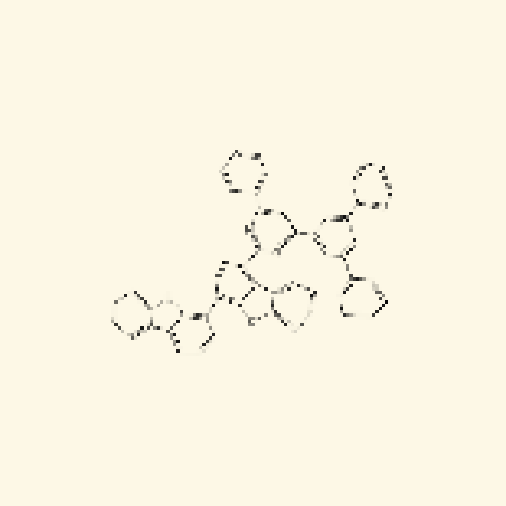 c1ccc(-c2cc(-c3ccccc3)cc(-c3cc(-c4ccccc4)nc(-c4ccc(-c5cccc6c5sc5ccccc56)c5oc6ccccc6c45)n3)c2)cc1